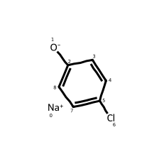 [Na+].[O-]c1ccc(Cl)cc1